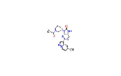 N#Cc1ccn2ncc(-c3ncc4[nH]c(=O)n([C@H]5CCCN(C(=O)C6CC6)C5)c4n3)c2c1